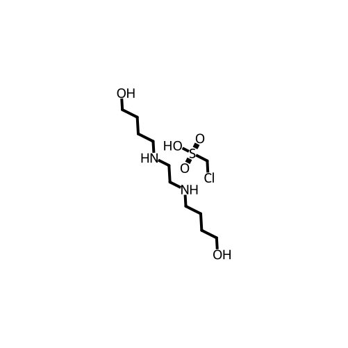 O=S(=O)(O)CCl.OCCCCNCCNCCCCO